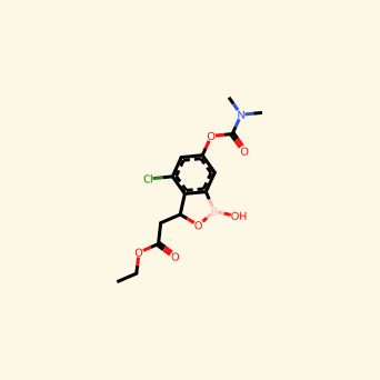 CCOC(=O)CC1OB(O)c2cc(OC(=O)N(C)C)cc(Cl)c21